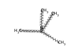 CCCCCCCCCCCCCCCC[PH](CCCCCCCCCCCCCCCC)(CCCCCCCCCCCCCCCC)CCCCCCCCCCCCCCCC